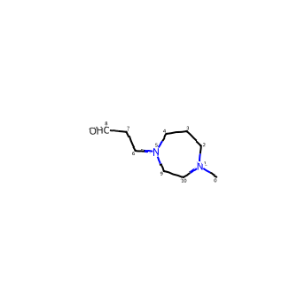 CN1CCCN(CCC=O)CC1